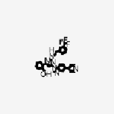 OCc1ccccc1-c1cc(-n2cnc3cc(-c4ccncc4)ccc32)nc(NCCc2cccc(C(F)(F)F)c2)n1